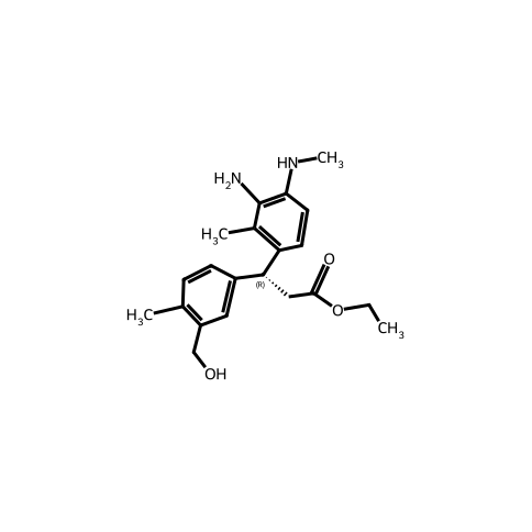 CCOC(=O)C[C@H](c1ccc(C)c(CO)c1)c1ccc(NC)c(N)c1C